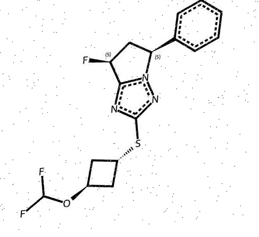 FC(F)O[C@H]1C[C@H](Sc2nc3n(n2)[C@H](c2ccccc2)C[C@@H]3F)C1